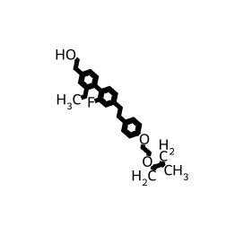 C=C(C)C(=C)OCCOc1ccc(CCc2ccc(-c3ccc(CCO)cc3CC)c(F)c2)cc1